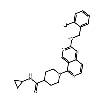 O=C(NC1CC1)C1CCN(c2nccc3nc(NCc4ccccc4Cl)ncc23)CC1